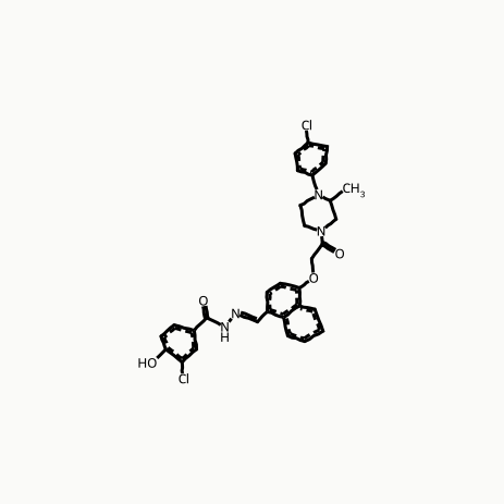 CC1CN(C(=O)COc2ccc(/C=N/NC(=O)c3ccc(O)c(Cl)c3)c3ccccc23)CCN1c1ccc(Cl)cc1